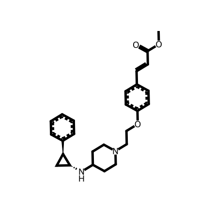 COC(=O)/C=C/c1ccc(OCCN2CCC(N[C@@H]3C[C@H]3c3ccccc3)CC2)cc1